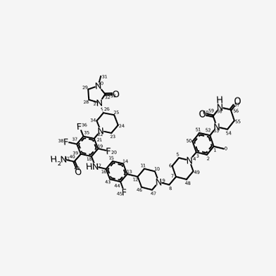 Cc1cc(N2CCC(CN3CCC(c4ccc(Nc5c(F)c(N6CCC[C@@H](N7CCN(C)C7=O)C6)c(F)c(F)c5C(N)=O)cc4F)CC3)CC2)ccc1N1CCC(=O)NC1=O